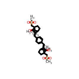 CC1(C)C2CCC1(CS(C)(=O)=O)C(=O)/C2=C/c1ccc(/C=C2/C(=O)C3(CS(C)(=O)=O)CCC2C3(C)C)cc1